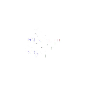 Cc1cccc(Cl)c1-c1nc2c([nH]1)-c1cccnc1Nc1cc(F)ccc1-2.O=C(O)C(F)(F)F